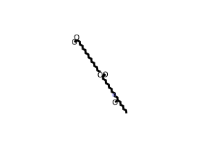 CCCCCCC(C/C=C/CCCCCCCC(=O)OCCCCCCCCCCCCCCCC(=O)OC)OC